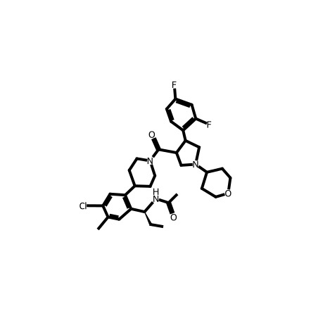 CC[C@H](NC(C)=O)c1cc(C)c(Cl)cc1C1CCN(C(=O)C2CN(C3CCOCC3)CC2c2ccc(F)cc2F)CC1